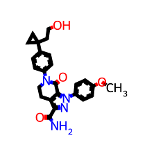 COc1ccc(-n2nc(C(N)=O)c3c2C(=O)N(c2ccc(C4(CCO)CC4)cc2)CC3)cc1